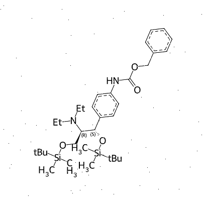 CCN(CC)[C@H](CO[Si](C)(C)C(C)(C)C)[C@@H](O[Si](C)(C)C(C)(C)C)c1ccc(NC(=O)OCc2ccccc2)cc1